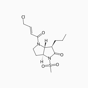 CCC[C@H]1C(=O)N(S(C)(=O)=O)[C@H]2CCN(C(=O)/C=C/CCl)[C@H]12